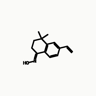 C=Cc1ccc2c(c1)C(C)(C)CCC2=NO